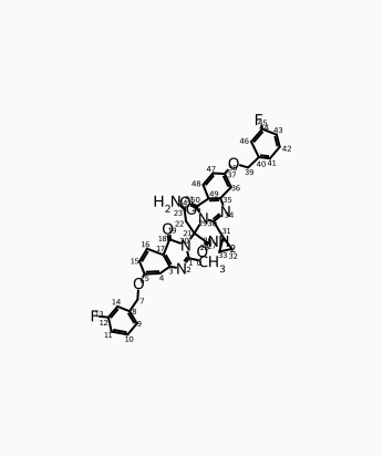 Cc1nc2cc(OCc3cccc(F)c3)ccc2c(=O)n1C(CC(N)=O)(C(N)=O)n1c(C2CC2)nc2cc(OCc3cccc(F)c3)ccc2c1=O